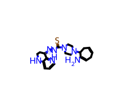 NC1=CCC=CCC1N1CCN(C(=S)N/N=C2/CCNc3cccnc32)CC1